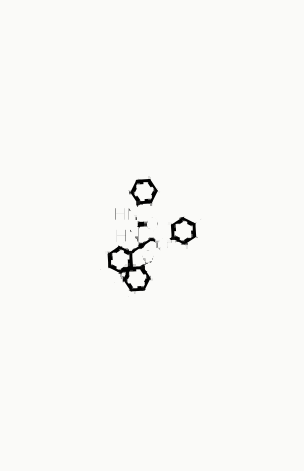 O=C(Nc1ccccc1)NC(COc1ccccc1)(Oc1ccccc1)c1ccccc1